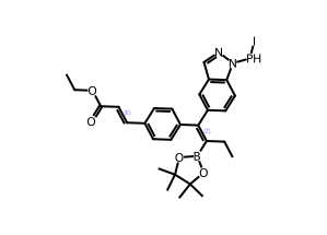 CCOC(=O)/C=C/c1ccc(/C(=C(/CC)B2OC(C)(C)C(C)(C)O2)c2ccc3c(cnn3PI)c2)cc1